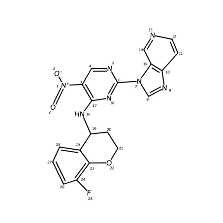 O=[N+]([O-])c1cnc(-n2cnc3ccncc32)nc1NC1CCOc2c(F)cccc21